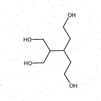 OCCC(CCO)C(CO)CO